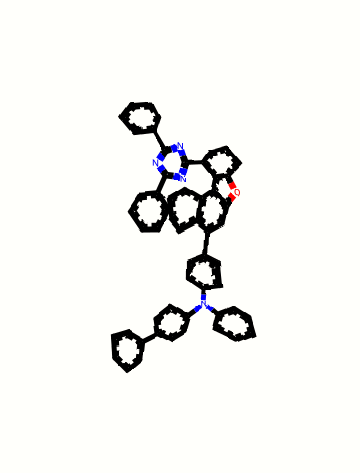 c1ccc(-c2ccc(N(c3ccccc3)c3ccc(-c4cc5oc6cccc(-c7nc(-c8ccccc8)nc(-c8ccccc8)n7)c6c5c5ccccc45)cc3)cc2)cc1